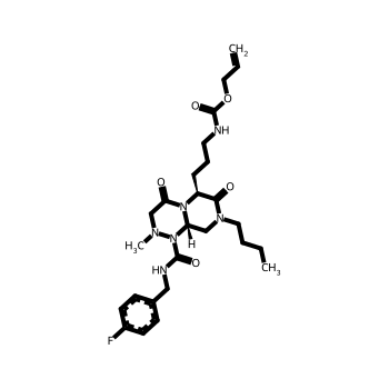 C=CCOC(=O)NCCC[C@H]1C(=O)N(CCCC)C[C@H]2N1C(=O)CN(C)N2C(=O)NCc1ccc(F)cc1